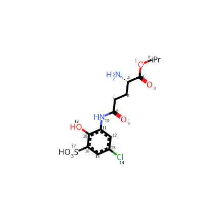 CC(C)OC(=O)[C@@H](N)CCC(=O)Nc1cc(Cl)cc(S(=O)(=O)O)c1O